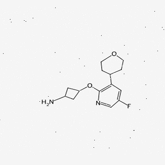 NC1CC(Oc2ncc(F)cc2C2CCOCC2)C1